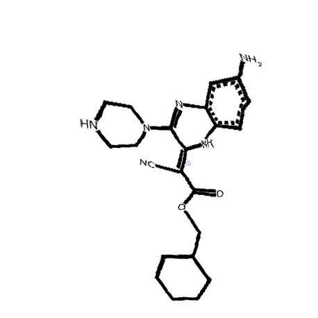 N#C/C(C(=O)OCC1CCCCC1)=C1/Nc2ccc(N)cc2N=C1N1CCNCC1